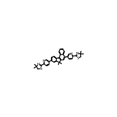 CC1(C)CSC(c2ccc(-c3ccc4c(c3)C(C)(C)c3cc(-c5ccc(C6=NC(C)(C)CS6)nc5)c5ccccc5c3-4)cn2)=N1